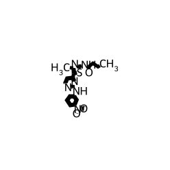 CCCC(=O)Nc1nc(C)c(-c2ccnc(Nc3cccc([N+](=O)[O-])c3)n2)s1